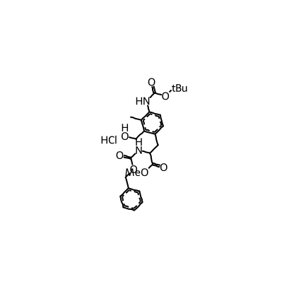 COC(=O)C(Cc1ccc(NC(=O)OC(C)(C)C)c(C)c1CO)NC(=O)OCc1ccccc1.Cl